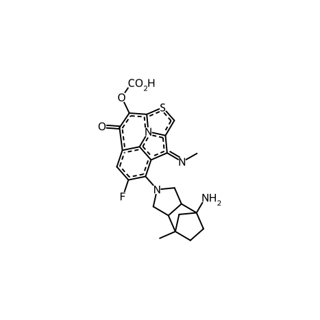 CN=c1c2c(N3CC4C(C3)C3(N)CCC4(C)C3)c(F)cc3c(=O)c(OC(=O)O)c4scc1n4c32